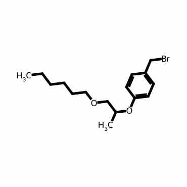 CCCCCCOCC(C)Oc1ccc(CBr)cc1